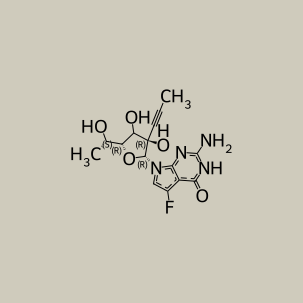 CC#C[C@@]1(O)C(O)[C@@H]([C@H](C)O)O[C@H]1n1cc(F)c2c(=O)[nH]c(N)nc21